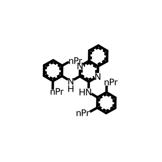 CCCc1cccc(CCC)c1Nc1nc2ccccc2nc1Nc1c(CCC)cccc1CCC